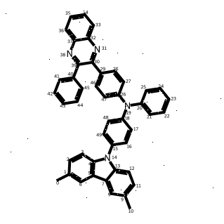 Cc1ccc2c(c1)c1cc(C)ccc1n2-c1ccc(N(c2ccccc2)c2ccc(-c3nc4ccccc4nc3-c3ccccc3)cc2)cc1